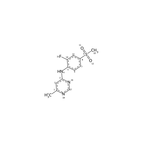 Cc1cc(Nc2ccc(S(C)(=O)=O)cc2F)ncn1